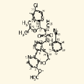 COc1ccnc2c1OC[C@@H](c1cccc(C#N)c1)n1c(NS(=O)(=O)[C@@H](C)[C@@H](OC(C)C)c3ncc(Cl)cn3)nnc1-2